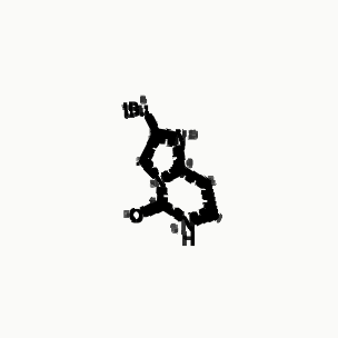 CC(C)(C)c1cn2c(=O)[nH]ccc2n1